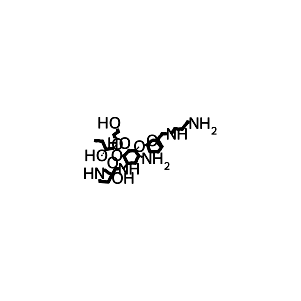 CC[C@@H](O)[C@H](OCCO)O[C@@H]1[C@@H](O)[C@H](O[C@@H]2CCC=C(CNCCCN)O2)[C@@H](N)C[C@H]1NC(=O)C1(O)CCNC1